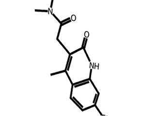 CCc1ccc2c(C)c(CC(=O)N(C)C)c(=O)[nH]c2c1